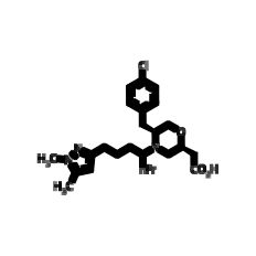 CCCC(CCCc1cc(C)n(C)n1)N1C[C@H](CC(=O)O)OC[C@@H]1Cc1ccc(Cl)cc1